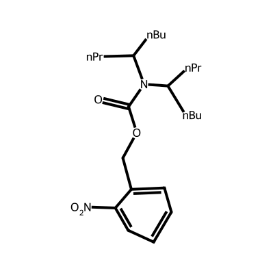 CCCCC(CCC)N(C(=O)OCc1ccccc1[N+](=O)[O-])C(CCC)CCCC